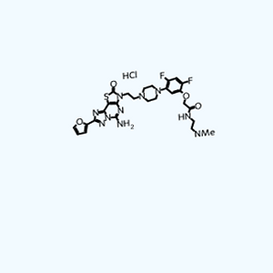 CNCCNC(=O)COc1cc(N2CCN(CCn3c(=O)sc4c3nc(N)n3nc(-c5ccco5)nc43)CC2)c(F)cc1F.Cl